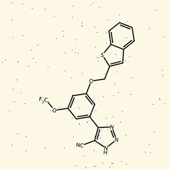 N#Cc1[nH]nnc1-c1cc(OCc2cc3ccccc3s2)cc(OC(F)(F)F)c1